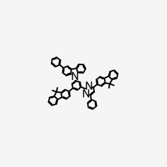 CC1(C)c2ccccc2-c2ccc(-c3cc(-c4nc(-c5ccccc5)cc(-c5ccc6c(c5)C(C)(C)c5ccccc5-6)n4)cc(-n4c5ccccc5c5cc(-c6ccccc6)ccc54)c3)cc21